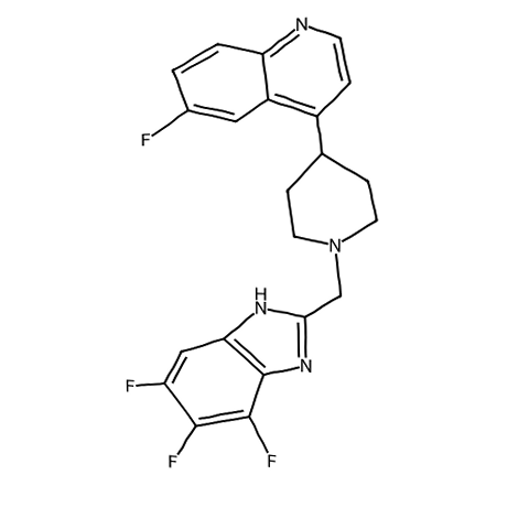 Fc1ccc2nccc(C3CCN(Cc4nc5c(F)c(F)c(F)cc5[nH]4)CC3)c2c1